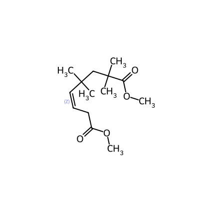 COC(=O)C/C=C\C(C)(C)CC(C)(C)C(=O)OC